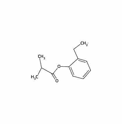 [CH2]Cc1ccccc1OC(=O)C(C)C